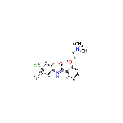 CN(C)CCOc1ccccc1C(=O)Nc1ccc(Cl)c(C(F)(F)F)c1